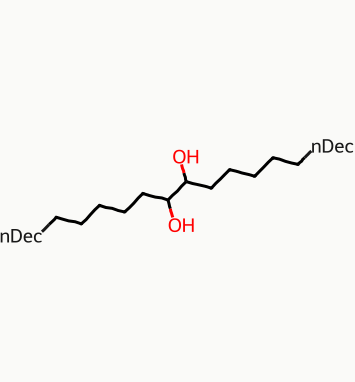 CCCCCCCCCCCCCCCC(O)C(O)CCCCCCCCCCCCCCC